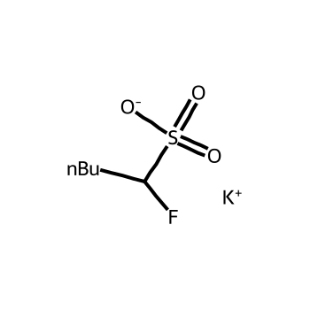 CCCCC(F)S(=O)(=O)[O-].[K+]